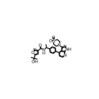 CC(NC(=O)c1cc(C(C)(C)O)on1)c1ccc(-c2ccnc3[nH]nc(N4CCS(=O)(=O)CC4)c23)cc1